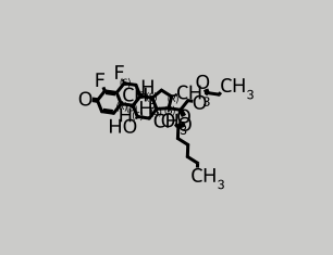 CCCCCC(=O)O[C@@]1(C(=O)COC(=O)CC)[C@H](C)C[C@H]2[C@@H]3C[C@H](F)C4=C(F)C(=O)C=C[C@]4(C)[C@H]3[C@@H](O)C[C@@]21C